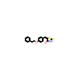 O=C1NC(=S)SC1=Cc1ccc(OCCc2ccccc2)cc1